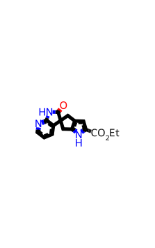 CCOC(=O)c1cc2c([nH]1)CC1(C2)C(=O)Nc2ncccc21